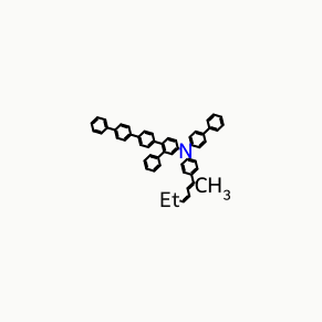 CC/C=C\C=C(/C)c1ccc(N(c2ccc(-c3ccccc3)cc2)c2ccc(-c3ccc(-c4ccc(-c5ccccc5)cc4)cc3)c(-c3ccccc3)c2)cc1